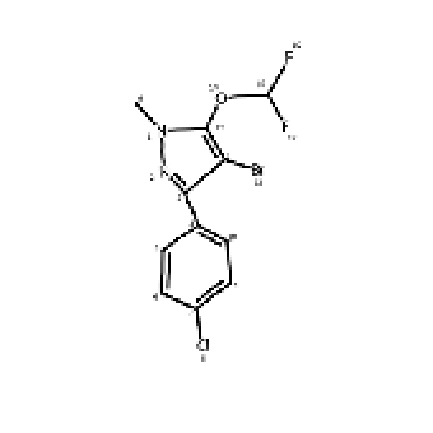 Cn1nc(-c2ccc(Cl)cc2)c(Br)c1OC(F)F